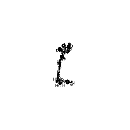 COc1cccc([C@H](CCc2ccc(OCc3cn(CCOCCOCCOCC(=O)N[C@H](C(=O)N4C[C@H](O)C[C@H]4C(=O)NCc4ccc(-c5scnc5C)cc4)C(C)(C)C)nn3)c(OC)c2)OC(=O)[C@H]2CCCCN2C(=O)[C@H](c2cc(OC)c(OC)c(OC)c2)C2CCCCC2)c1